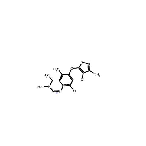 CCN(C)/C=N\c1cc(C)c(Oc2snc(C)c2Cl)cc1Cl